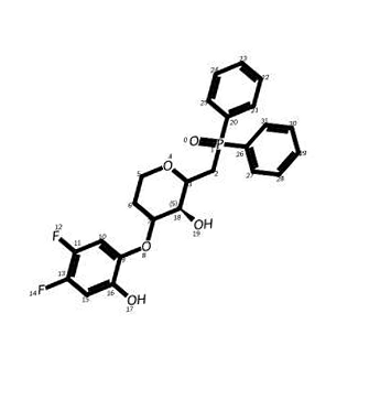 O=P(CC1OCCC(Oc2cc(F)c(F)cc2O)[C@@H]1O)(c1ccccc1)c1ccccc1